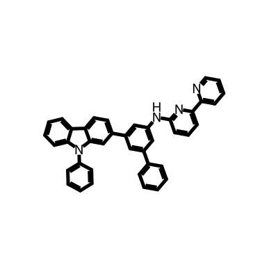 c1ccc(-c2cc(Nc3cccc(-c4ccccn4)n3)cc(-c3ccc4c5ccccc5n(-c5ccccc5)c4c3)c2)cc1